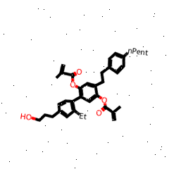 C=C(C)C(=O)Oc1cc(-c2ccc(CCCO)cc2CC)c(OC(=O)C(=C)C)cc1CCc1ccc(CCCCC)cc1